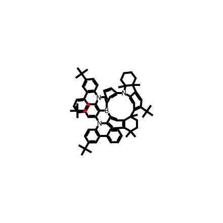 CC(C)(C)c1ccc(N2c3ccc4cc3B3c5cc6c(cc5N(c5ccc(C(C)(C)C)cc5-c5ccccc5)c5cc(C(C)(C)C)cc2c53)C(C)(C)CCC6(C)c2cc3c(cc2C(C)(C)C)C2(C)CCCCC2(C)N43)c(-c2ccccc2)c1